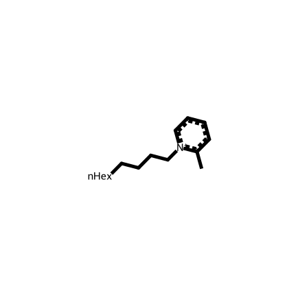 CCCCCCCCCC[n+]1ccccc1C